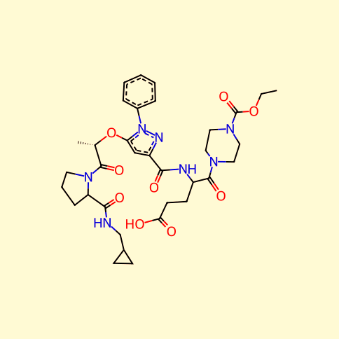 CCOC(=O)N1CCN(C(=O)C(CCC(=O)O)NC(=O)c2cc(O[C@@H](C)C(=O)N3CCCC3C(=O)NCC3CC3)n(-c3ccccc3)n2)CC1